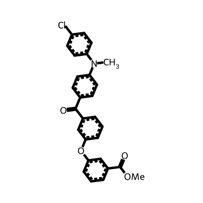 COC(=O)c1cccc(Oc2cccc(C(=O)c3ccc(N(C)c4ccc(Cl)cc4)cc3)c2)c1